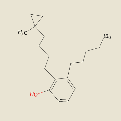 CC(C)(C)CCCCc1cccc(O)c1CCCCC1(C)CC1